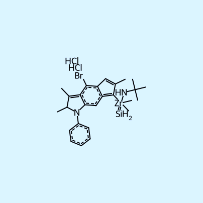 CC1=Cc2c(Br)c3c(cc2=[C]1[Zr]([CH3])([CH3])(=[SiH2])[NH]C(C)(C)C)N(c1ccccc1)C(C)C=3C.Cl.Cl